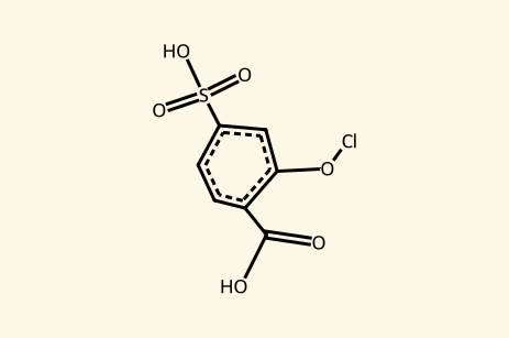 O=C(O)c1ccc(S(=O)(=O)O)cc1OCl